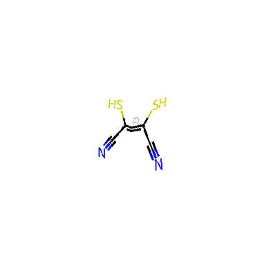 N#C/C(S)=C(/S)C#N